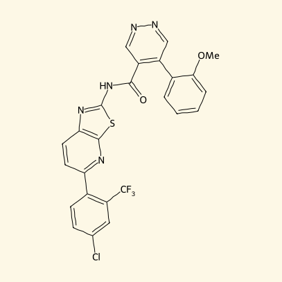 COc1ccccc1-c1cnncc1C(=O)Nc1nc2ccc(-c3ccc(Cl)cc3C(F)(F)F)nc2s1